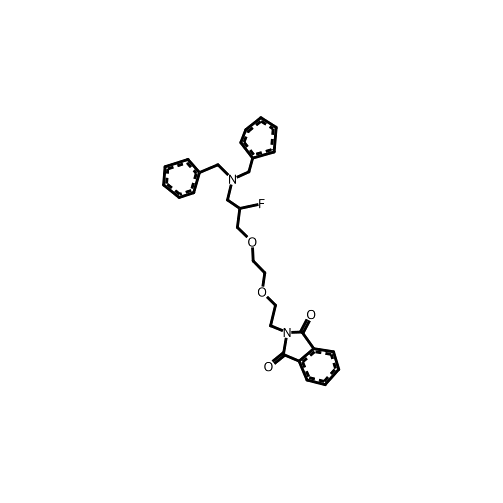 O=C1c2ccccc2C(=O)N1CCOCCOCC(F)CN(Cc1ccccc1)Cc1ccccc1